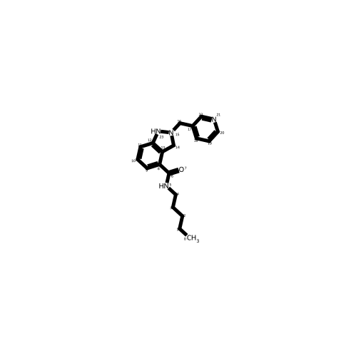 CCCCCNC(=O)c1cccc2c1CN(Cc1cccnc1)N2